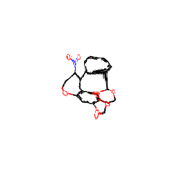 O=[N+]([O-])C1COc2cc3c(cc2C1c1ccccc1C1OCCCO1)OCO3